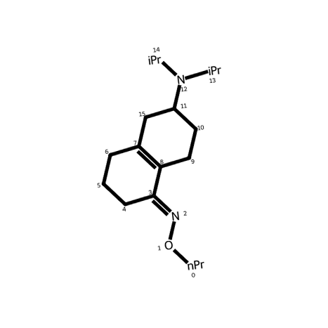 CCCON=C1CCCC2=C1CCC(N(C(C)C)C(C)C)C2